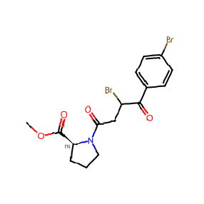 COC(=O)[C@@H]1CCCN1C(=O)CC(Br)C(=O)c1ccc(Br)cc1